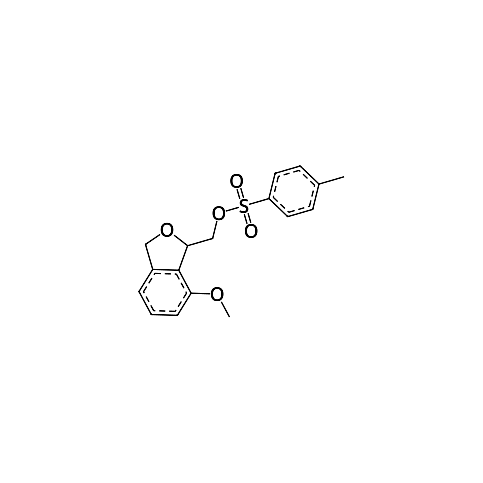 COc1cccc2c1C(COS(=O)(=O)c1ccc(C)cc1)OC2